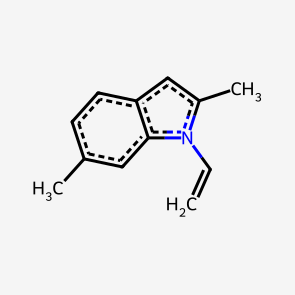 C=Cn1c(C)cc2ccc(C)cc21